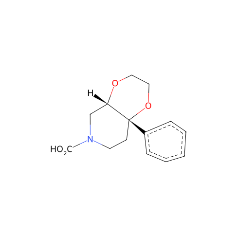 O=C(O)N1CC[C@@]2(c3ccccc3)OCCO[C@H]2C1